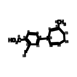 CC1=CN(c2ccc(C(=O)O)c(F)c2)C=CCC1